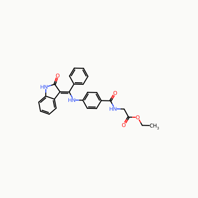 CCOC(=O)CNC(=O)c1ccc(NC(=C2C(=O)Nc3ccccc32)c2ccccc2)cc1